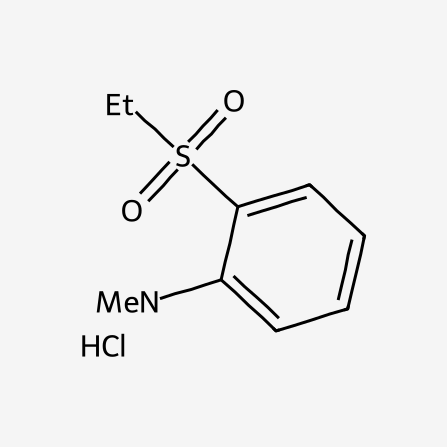 CCS(=O)(=O)c1ccccc1NC.Cl